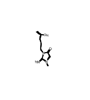 C=C(O)CCCN1C(=N)N(C)CC1=O